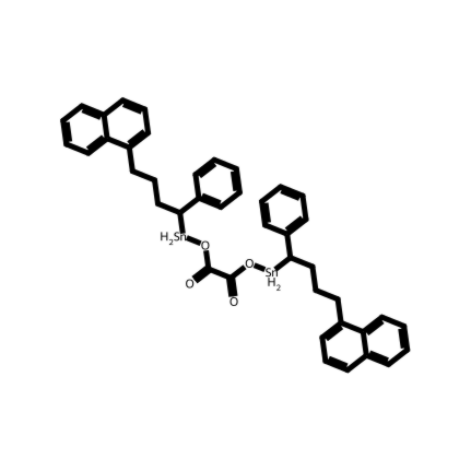 O=C([O][SnH2][CH](CCCc1cccc2ccccc12)c1ccccc1)C(=O)[O][SnH2][CH](CCCc1cccc2ccccc12)c1ccccc1